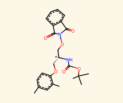 Cc1ccc(OC[C@H](CON2C(=O)c3ccccc3C2=O)NC(=O)OC(C)(C)C)c(C)c1